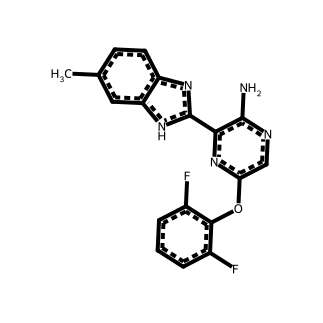 Cc1ccc2nc(-c3nc(Oc4c(F)cccc4F)cnc3N)[nH]c2c1